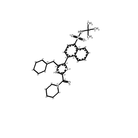 CC(C)(C)NS(=O)(=O)c1ccc(-c2sc(C(=O)N3CCCCC3)nc2CC2CCCCC2)c2ccccc12